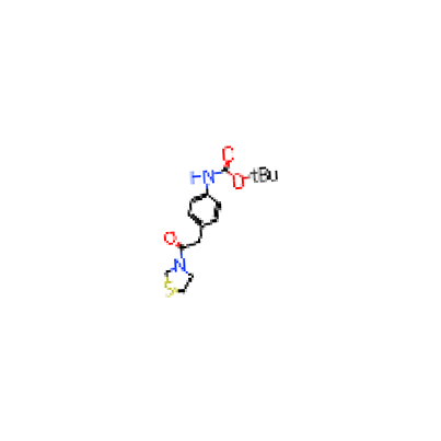 CC(C)(C)OC(=O)Nc1ccc(CC(=O)N2CCSC2)cc1